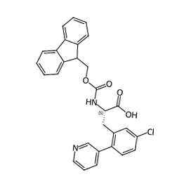 O=C(N[C@@H](Cc1cc(Cl)ccc1-c1cccnc1)C(=O)O)OCC1c2ccccc2-c2ccccc21